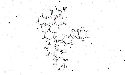 Brc1ccc(-c2ccccc2N(c2ccccc2)c2ccc3c4ccc5c6ccccc6sc5c4n(-c4ccc5c(c4)oc4ccccc45)c3c2)cc1